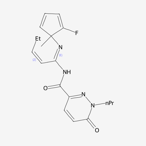 CC/C=C\C(=N/C1(C)C=CC=C1F)NC(=O)c1ccc(=O)n(CCC)n1